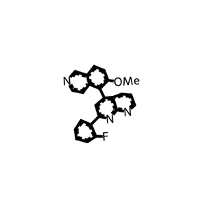 COc1ccc2cnccc2c1-c1cc(-c2ccccc2F)nc2ncccc12